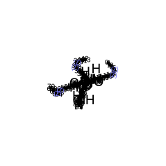 CCCCC/C=C\C/C=C\CCCCCCCC(=O)NCCCC(NC(=O)CCCCCCC/C=C\C/C=C\CCCCC)C(=O)NC(CCCNC(=O)CCCCCCC/C=C\C/C=C\CCCCC)C(=O)NCCSSCCNC(=O)CN(C)C